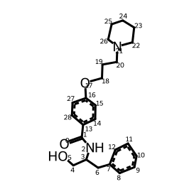 O=C(NC(CO)Cc1ccccc1)c1ccc(OCCCN2CCCCC2)cc1